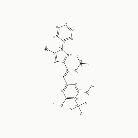 COc1cc(C=C(O[SiH](C)C)c2cc(O)n(-c3ccccn3)n2)cc(OC)c1C(C)(C)C